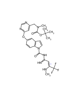 CN/C(=C\C(=N)NC(=O)n1ccc2cc(Oc3cc(CN(C)C(=O)OC(C)(C)C)ncn3)ccc21)C(F)(F)F